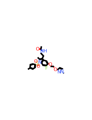 CC(=O)NCCc1c(C)n(S(=O)(=O)c2ccc(C)cc2)c2cc(F)c(OCCOc3ccn(C)n3)cc12